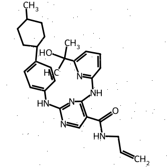 C=CCNC(=O)c1cnc(Nc2ccc(C3CCC(C)CC3)cc2)nc1Nc1cccc(C(C)(C)O)n1